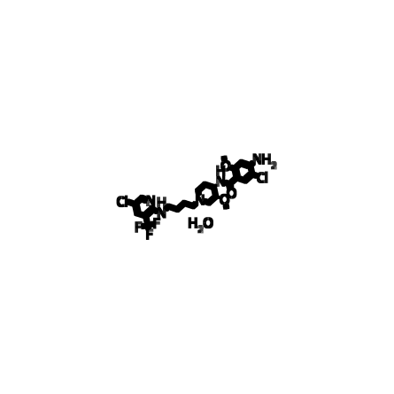 COc1cc(N)c(Cl)cc1C(=O)N[C@H]1CCN(CCCCNc2ncc(Cl)cc2C(F)(F)F)C[C@H]1OC.O